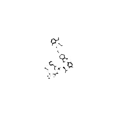 C#CC(C)Oc1cc(N2C(=O)C3=C(CCCC3)C2=O)c(F)cc1Cl.CC1(C)OC(c2ccco2)CN1C(=O)C(Cl)Cl.CCOCN(C(=O)CCl)c1c(C)cccc1CC.O=C(O)CNCP(=O)(O)O